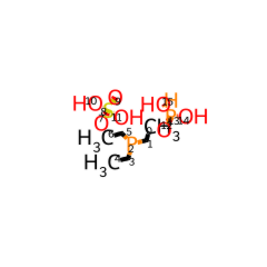 CCP(CC)CC.O=S(=O)(O)O.O=[PH](O)O